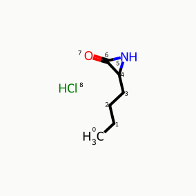 CCCCC1NC1=O.Cl